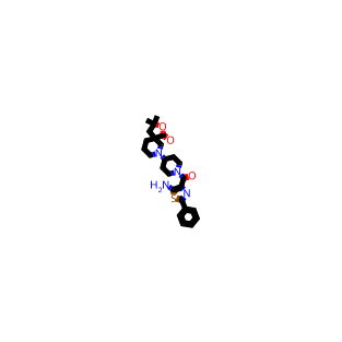 CC1(C)CC2(CCCN(C3CCN(C(=O)c4nc(-c5ccccc5)sc4N)CC3)C2)C(=O)O1